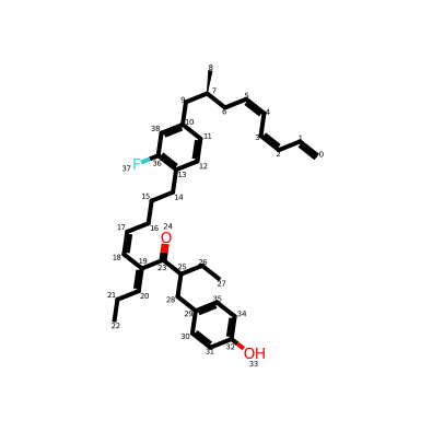 C=C/C=C\C=C/C[C@H](C)Cc1ccc(CCC/C=C\C(=C/CC)C(=O)C(CC)Cc2ccc(O)cc2)c(F)c1